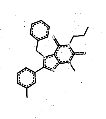 CCCn1c(=O)c2c(nc(-c3cccc(C)c3)n2Cc2ccccc2)n(C)c1=O